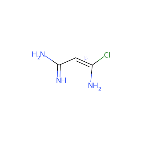 N=C(N)/C=C(\N)Cl